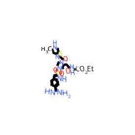 CCOC(=O)CNC(=O)CC1CN(S(=O)(=O)c2cc3ccc(C(=N)N)cc3[nH]2)CCN1C(=O)c1nc2c(s1)CNC(C)C2